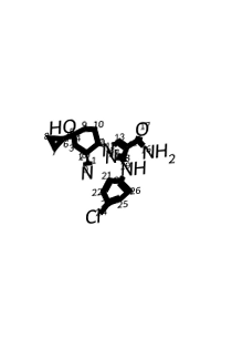 N#C[C@H]1C[C@](O)(C2CC2)CC[C@@H]1n1cc(C(N)=O)c(Nc2ccc(Cl)cc2)n1